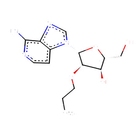 COCCO[C@@H]1[C@H](O)[C@@H](CO)O[C@H]1n1cnc2c(N)nccc21